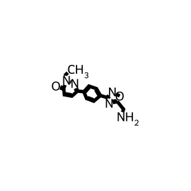 CCn1nc(-c2ccc(-c3noc(CN)n3)cc2)ccc1=O